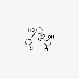 O=C(N[C@H]1CCC[C@@](O)(C#Cc2cccc(Cl)c2)C1)c1cc(Cl)ccc1O